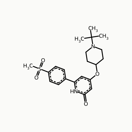 CC(C)(C)N1CCC(Oc2cc(-c3ccc(S(C)(=O)=O)cc3)[nH]c(=O)c2)CC1